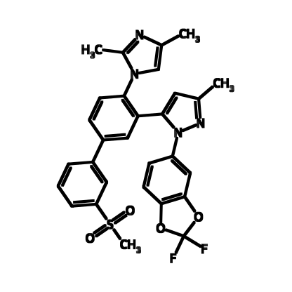 Cc1cn(-c2ccc(-c3cccc(S(C)(=O)=O)c3)cc2-c2cc(C)nn2-c2ccc3c(c2)OC(F)(F)O3)c(C)n1